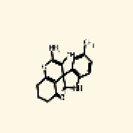 Cc1ccc2c(c1)C1(C(=O)N2)C(C#N)=C(N)OC2=C1C(=O)CCC2